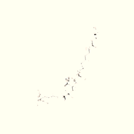 CO[Si](CCCCOC(=O)C(C)(C)CC(CC(Br)C(=O)NCCCCCNC(=O)CN=[N+]=[N-])C(N)=O)(OC)OC